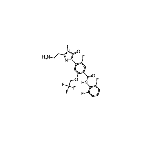 Cn1c(CCN)nn(-c2cc(OCC(F)(F)F)c(C(=O)Nc3c(F)cccc3F)cc2F)c1=O